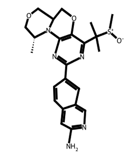 C[C@@H]1COCC2COc3c(nc(-c4ccc5cc(N)ncc5c4)nc3C(C)(C)[S+](C)[O-])N21